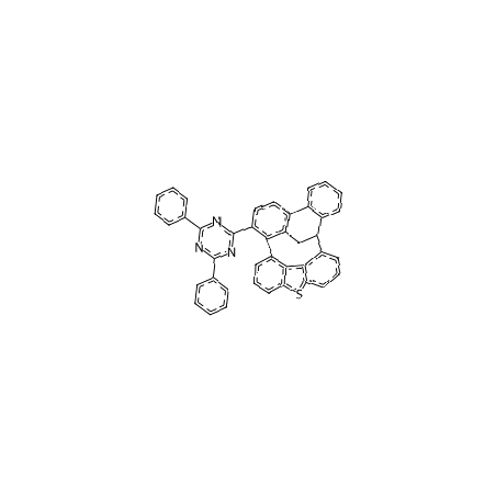 c1ccc(-c2nc(-c3ccccc3)nc(-c3ccc4c5c3-c3cccc6sc7cccc(c7c36)C(C5)c3ccccc3-4)n2)cc1